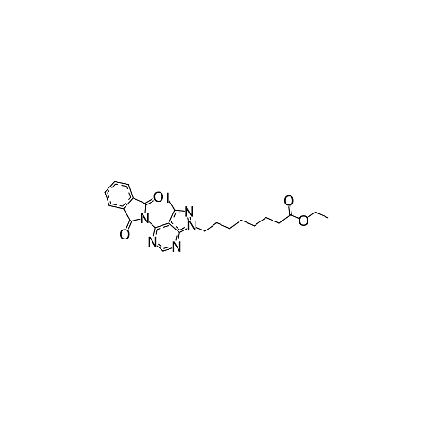 CCOC(=O)CCCCCCCn1nc(I)c2c(N3C(=O)c4ccccc4C3=O)ncnc21